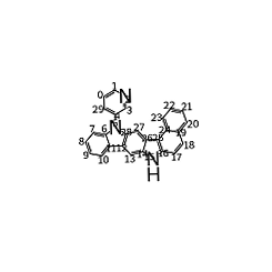 c1cncc(-n2c3ccccc3c3cc4[nH]c5ccc6ccccc6c5c4cc32)c1